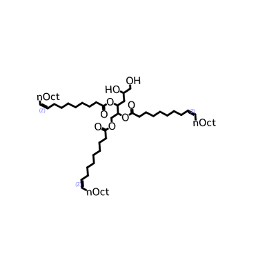 CCCCCCCC/C=C\CCCCCCCC(=O)OCC(OC(=O)CCCCCCC/C=C\CCCCCCCC)C(CC(O)CO)OC(=O)CCCCCCC/C=C\CCCCCCCC